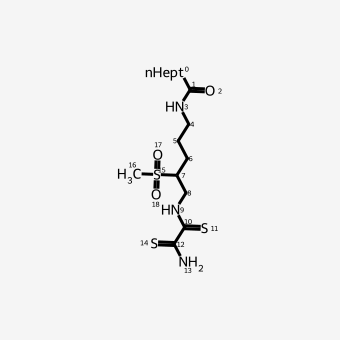 CCCCCCCC(=O)NCCCC(CNC(=S)C(N)=S)S(C)(=O)=O